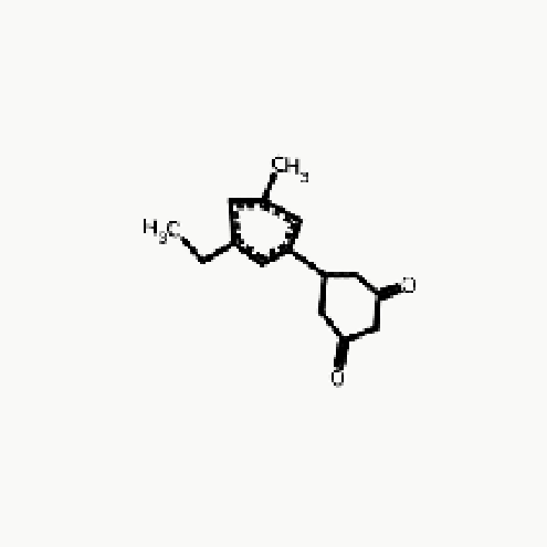 CCc1cc(C)cc(C2CC(=O)CC(=O)C2)c1